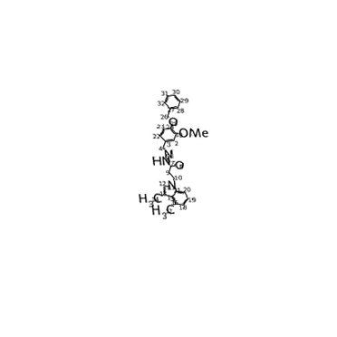 COc1cc(C=NNC(=O)CCn2cc(C)c3c(C)cccc32)ccc1OCc1ccccc1